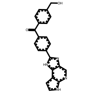 O=C(c1ccc(CO)cc1)c1ccc(-c2nc3cnc4[nH]ccc4c3[nH]2)cc1